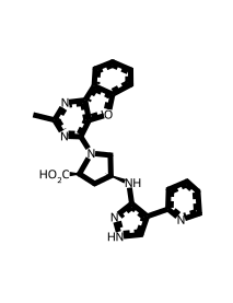 Cc1nc(N2C[C@@H](Nc3n[nH]cc3-c3ccccn3)C[C@H]2C(=O)O)c2oc3ccccc3c2n1